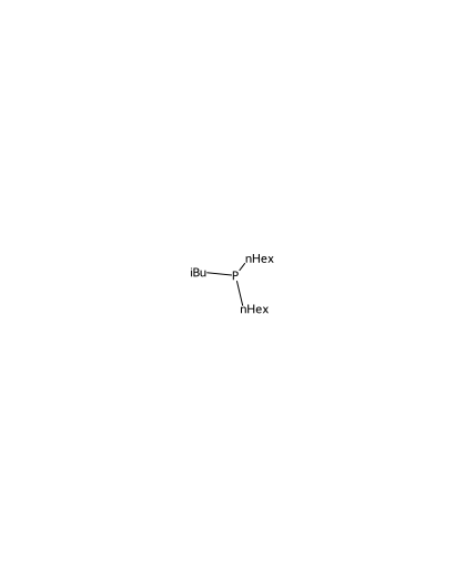 CCCCCCP(CCCCCC)C(C)CC